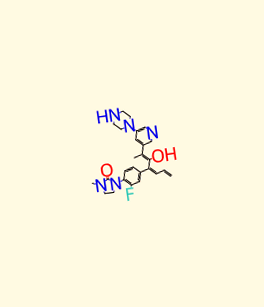 C=C/C=C(\C(O)=C(/C)c1cncc(N2CCNCC2)c1)c1ccc(N2CCN(C)C2=O)c(F)c1